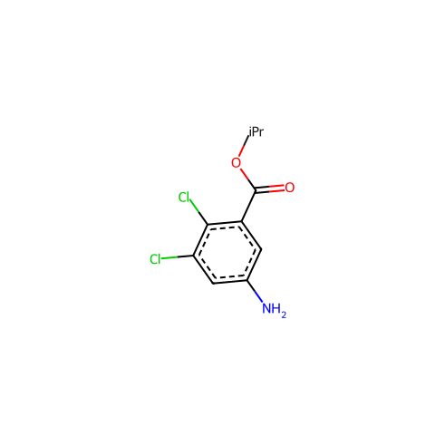 CC(C)OC(=O)c1cc(N)cc(Cl)c1Cl